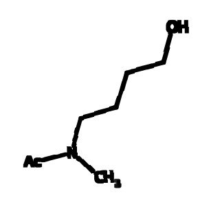 CC(=O)N(C)CCCCO